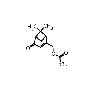 CC(C)(C)C(=O)OCC1=CC(=O)C2CC1C2(C)C